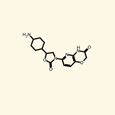 NC1CCC(C2CN(c3ccc4c(n3)NC(=O)CO4)C(=O)O2)CC1